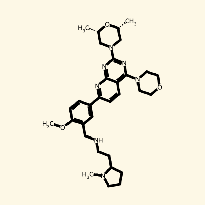 COc1ccc(-c2ccc3c(N4CCOCC4)nc(N4C[C@@H](C)O[C@@H](C)C4)nc3n2)cc1CNCCC1CCCN1C